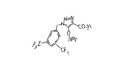 CCCOc1c(C(=O)O)nnn1Cc1cc(C(F)(F)F)cc(C(F)(F)F)c1